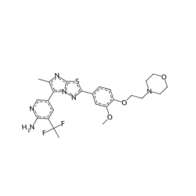 COc1cc(-c2nn3c(-c4cnc(N)c(C(C)(F)F)c4)c(C)nc3s2)ccc1OCCN1CCOCC1